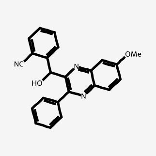 COc1ccc2nc(-c3ccccc3)c(C(O)c3ccccc3C#N)nc2c1